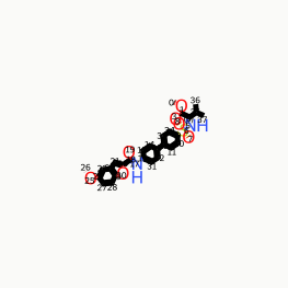 COC(=O)[C@@H](NS(=O)(=O)c1ccc(-c2ccc(NC(=O)c3cc4cc(OC)ccc4o3)cc2)cc1)C(C)C